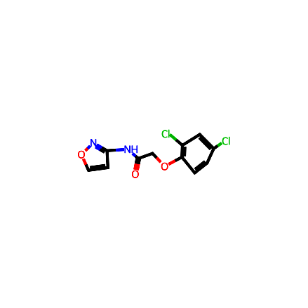 O=C(COc1ccc(Cl)cc1Cl)Nc1ccon1